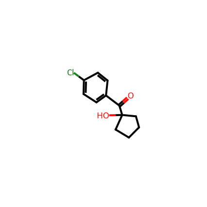 O=C(c1ccc(Cl)cc1)C1(O)CCCC1